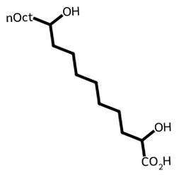 CCCCCCCCC(O)CCCCCCCC(O)C(=O)O